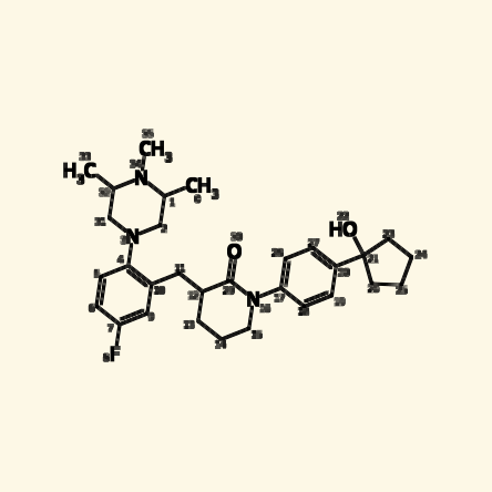 CC1CN(c2ccc(F)cc2CC2CCCN(c3ccc(C4(O)CCCC4)cc3)C2=O)CC(C)N1C